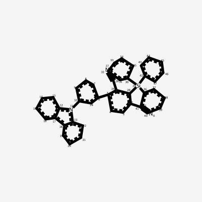 N#Cc1ccc(-c2cccc(-n3c4ccccc4c4ccccc43)c2)c(C#N)c1[Si](c1ccccc1)(c1ccccc1)c1ccccc1